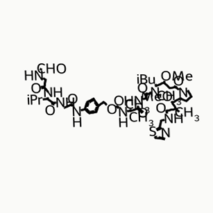 CCC(C)C(C(CC(=O)N1CCCC1C(OC)C(C)C(=O)NCc1nccs1)OC)N(C)C(=O)CNC(=O)C(C)(C)NC(=O)OCc1ccc(NC(=O)CNC(=O)C(NC(=O)CNC=O)C(C)C)cc1